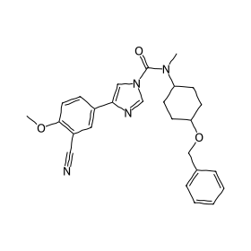 COc1ccc(-c2cn(C(=O)N(C)C3CCC(OCc4ccccc4)CC3)cn2)cc1C#N